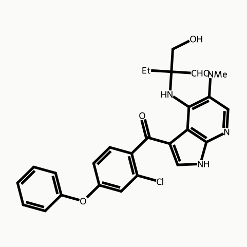 CCC(C=O)(CO)Nc1c(NC)cnc2[nH]cc(C(=O)c3ccc(Oc4ccccc4)cc3Cl)c12